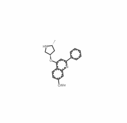 COc1ccc2c(O[C@H]3CN[C@H](C)C3)cc(-c3ccccc3)nc2c1